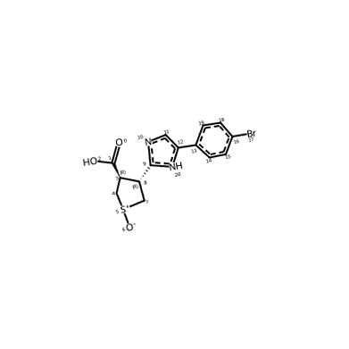 O=C(O)[C@@H]1C[S+]([O-])C[C@H]1c1ncc(-c2ccc(Br)cc2)[nH]1